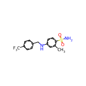 Cc1cc(NCc2ccc(C(F)(F)F)cc2)ccc1S(N)(=O)=O